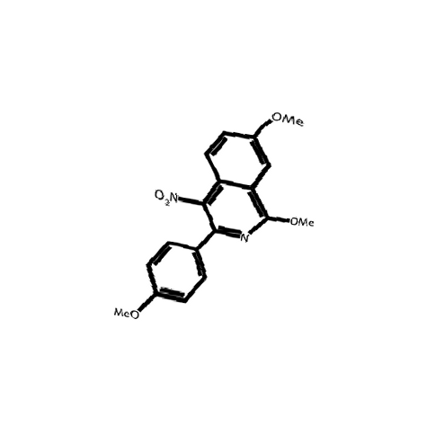 COc1ccc(-c2nc(OC)c3cc(OC)ccc3c2[N+](=O)[O-])cc1